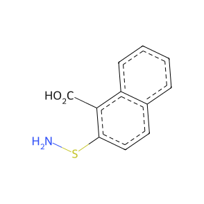 NSc1ccc2ccccc2c1C(=O)O